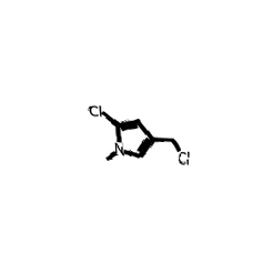 Cn1cc(CCl)cc1Cl